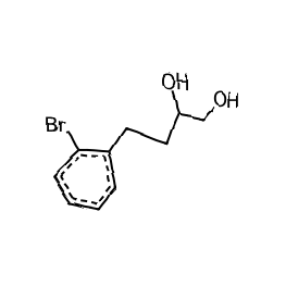 OCC(O)CCc1ccccc1Br